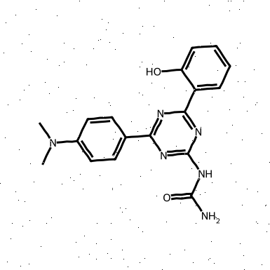 CN(C)c1ccc(-c2nc(NC(N)=O)nc(-c3ccccc3O)n2)cc1